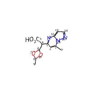 Cc1cc(C(C(=O)O)C2OC(C)O2)nc2ccnn12